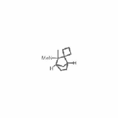 CN[C@]1(C)[C@H]2CC[C@H](C2)C12CCC2